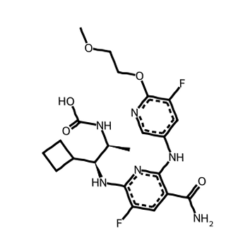 COCCOc1ncc(Nc2nc(N[C@@H](C3CCC3)[C@H](C)NC(=O)O)c(F)cc2C(N)=O)cc1F